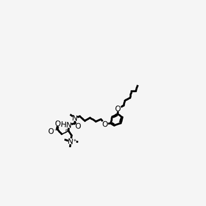 CCCCCCOc1cccc(OCCCCCN(C)C(=O)N[C@H](CC(=O)[O-])C[N+](C)(C)C)c1